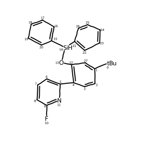 CC(C)(C)c1ccc(-c2cccc(F)n2)c(O[SiH](c2ccccc2)c2ccccc2)c1